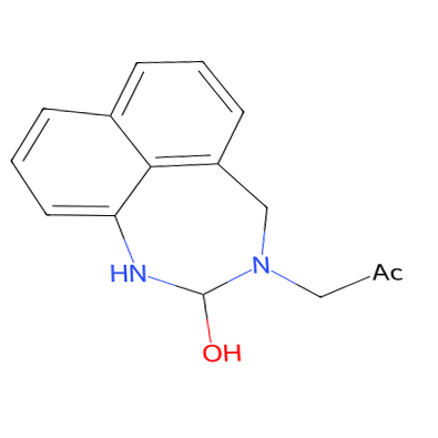 CC(=O)CN1Cc2cccc3cccc(c23)NC1O